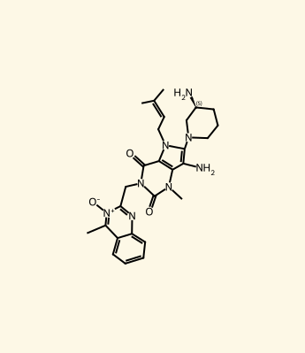 CC(C)=CCn1c(N2CCC[C@H](N)C2)c(N)c2c1c(=O)n(Cc1nc3ccccc3c(C)[n+]1[O-])c(=O)n2C